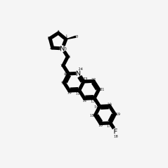 C[C@@H]1CCCN1CCc1ccc2cc(-c3ccc(F)cc3)ccc2n1